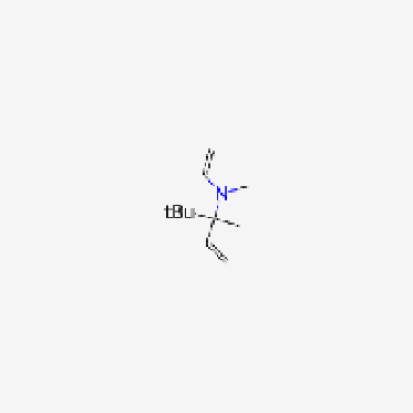 C=CN(C)C(C)(C=C)C(C)(C)C